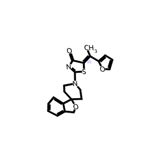 C/C(=C1/SC(N2CCC3(CC2)OCc2ccccc23)=NC1=O)c1ccco1